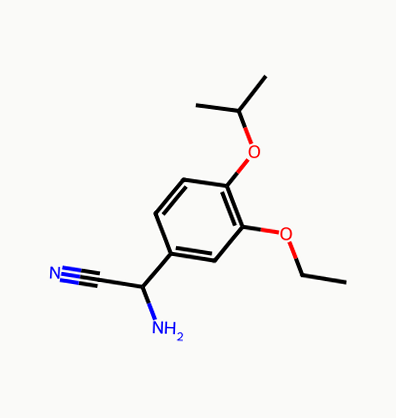 CCOc1cc(C(N)C#N)ccc1OC(C)C